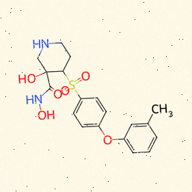 Cc1cccc(Oc2ccc(S(=O)(=O)C3CCNCC3(O)C(=O)NO)cc2)c1